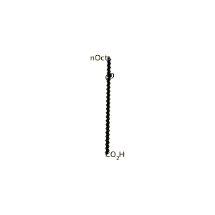 CCCCCCCC/C=C\CCCCCCCC(=O)OCCCCCCCCCCCCCCCCCCCCCCCCCCCCCCCCCCCCCCC(=O)O